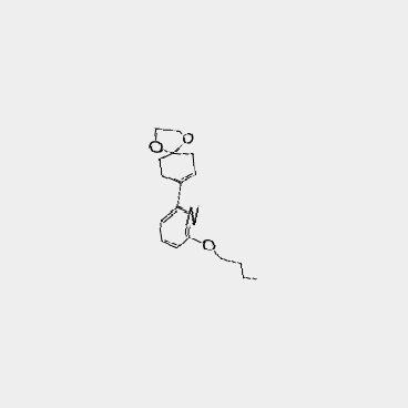 CCCCOc1cccc(C2=CCC3(CC2)OCCO3)n1